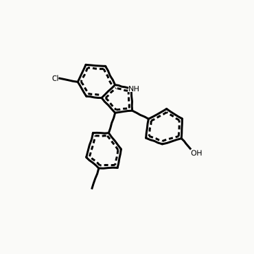 Cc1ccc(-c2c(-c3ccc(O)cc3)[nH]c3ccc(Cl)cc23)cc1